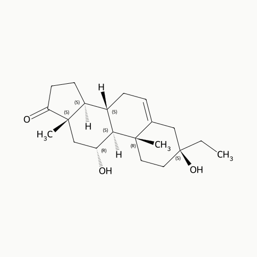 CC[C@]1(O)CC[C@@]2(C)C(=CC[C@@H]3[C@@H]2[C@H](O)C[C@]2(C)C(=O)CC[C@@H]32)C1